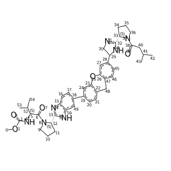 COC(=O)N[C@H](C(=O)N1CCC[C@H]1c1nc2ccc(-c3ccc4c(c3)Oc3cc(C5CN=C([C@@H]6CCCN6C(=O)CC(C)C)N5)ccc3C4)cc2[nH]1)C(C)C